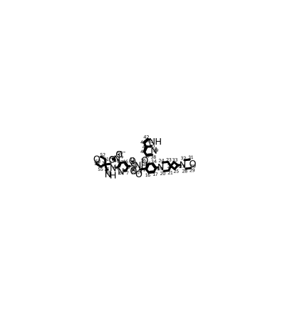 N#CC1(CNc2ncc(S(=O)(=O)NC(=O)c3ccc(N4CCC5(CC4)CC(N4CCOCC4)C5)cc3Oc3cnc4[nH]ccc4c3)cc2[N+](=O)[O-])CCOCC1